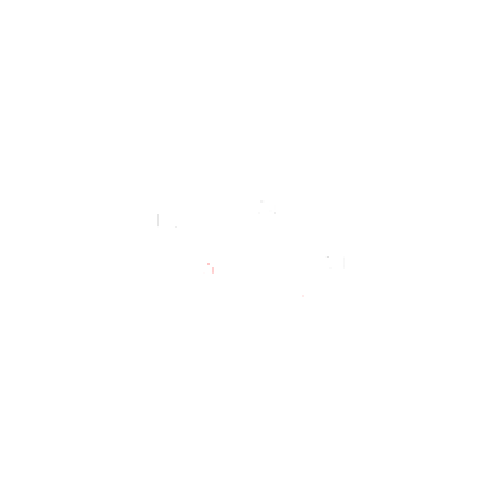 C[CH2][Ca][CH2]C.O=PO